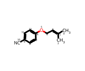 CC(C)=CCOc1ccc(C#N)cc1